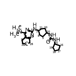 CN(C)c1nc(NC2CCC(NC(=O)NC3CCCC3)CC2)nc2c1CCCC2